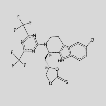 FC(F)(F)c1nc(N2CCc3c([nH]c4ccc(Cl)cc34)[C@H]2C[C@H]2COC(=S)O2)nc(C(F)(F)F)n1